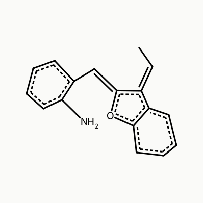 C/C=c1\c(=C\c2ccccc2N)oc2ccccc12